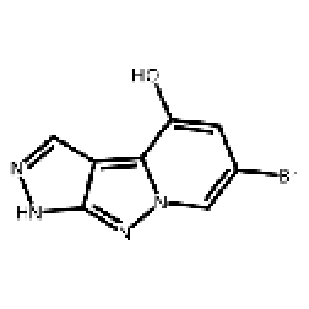 Oc1cc(Br)cn2nc3[nH]ncc3c12